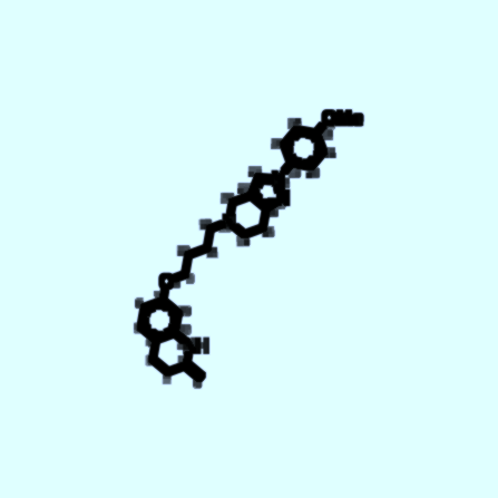 C=C1CCc2ccc(OCCCCN3CCc4nn(-c5ccc(OC)cc5)cc4C3)cc2N1